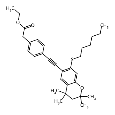 CCCCCCSc1cc2c(cc1C#Cc1ccc(CC(=O)OCC)cc1)C(C)(C)CC(C)(C)O2